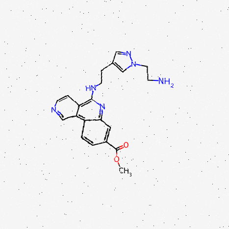 COC(=O)c1ccc2c(c1)nc(NCCc1cnn(CCN)c1)c1ccncc12